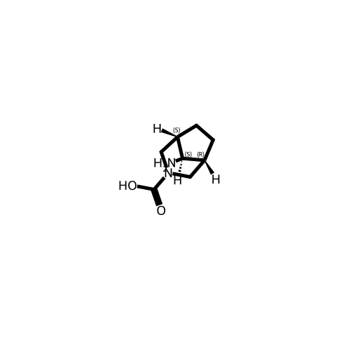 N[C@@H]1[C@@H]2CC[C@H]1CN(C(=O)O)C2